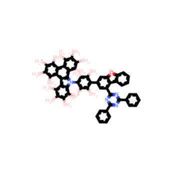 Bc1c(B)c(-n2c3c(B)c(B)c(B)c(B)c3c3c4c(B)c(B)c(B)c(B)c4c4c(B)c(B)c(B)c(B)c4c32)c(B)c(B)c1-c1cc(-c2nc(-c3ccccc3)nc(-c3ccccc3)n2)c2c(c1)oc1ccccc12